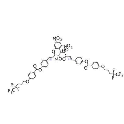 O=C(Oc1ccc(/C=C/C(=O)C(O)C(c2ccc([N+](=O)[O-])cc2[N+](=O)[O-])C(O)C(=O)/C=C/c2ccc(OC(=O)c3ccc(OCCCC(F)(F)C(F)(F)F)cc3)cc2)cc1)c1ccc(OCCCC(F)(F)C(F)(F)F)cc1